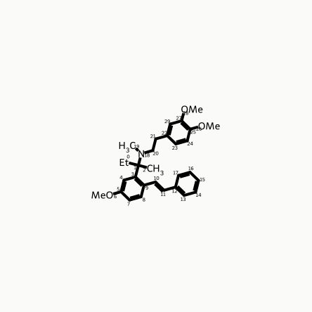 CCC(C)(c1cc(OC)ccc1C=Cc1ccccc1)N(C)CCc1ccc(OC)c(OC)c1